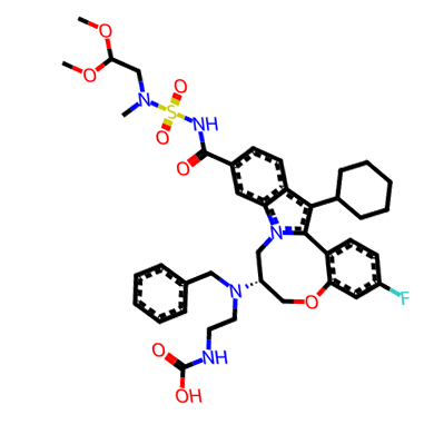 COC(CN(C)S(=O)(=O)NC(=O)c1ccc2c(C3CCCCC3)c3n(c2c1)C[C@@H](N(CCNC(=O)O)Cc1ccccc1)COc1cc(F)ccc1-3)OC